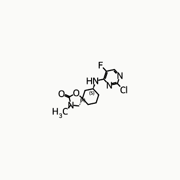 CN1C[C@]2(CCC[C@H](Nc3nc(Cl)ncc3F)C2)OC1=O